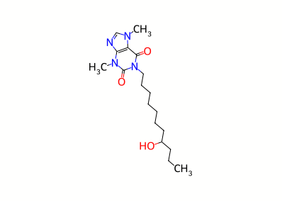 CCCC(O)CCCCCCCn1c(=O)c2c(ncn2C)n(C)c1=O